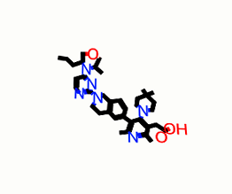 CCCC1COCC(C)N1c1ccnc(N2CCc3cc(-c4c(C)nc(C)c(CC(=O)O)c4N4CCC(C)(C)CC4)ccc3C2)n1